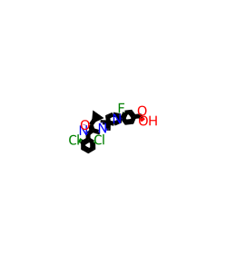 O=C(O)c1ccc(N2C3CCC2C2(C3)CN(Cc3c(-c4c(Cl)cccc4Cl)noc3C3CC3)C2)c(F)c1